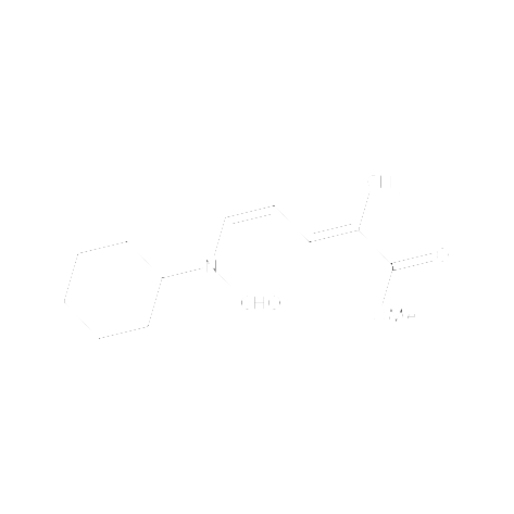 COC(=O)/C(C)=C/C=C\N(C=O)C1CCCCC1